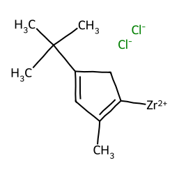 CC1=[C]([Zr+2])CC(C(C)(C)C)=C1.[Cl-].[Cl-]